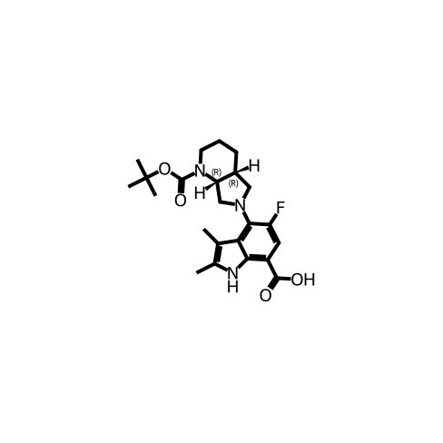 Cc1[nH]c2c(C(=O)O)cc(F)c(N3C[C@H]4CCCN(C(=O)OC(C)(C)C)[C@H]4C3)c2c1C